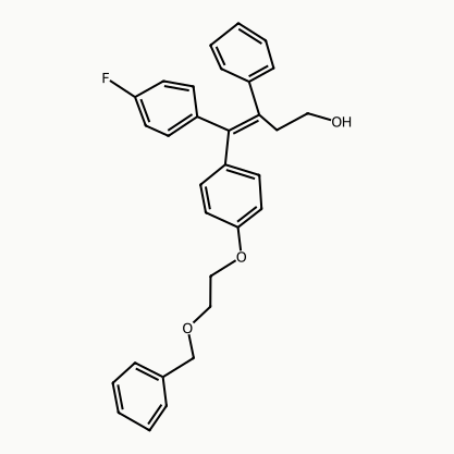 OCCC(=C(c1ccc(F)cc1)c1ccc(OCCOCc2ccccc2)cc1)c1ccccc1